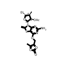 C=C1Sc2c(OCc3oc(=O)oc3C)nc(N)nc2N1[C@@H]1O[C@H](CC)[C@@H](C)[C@H]1OC(C)=O